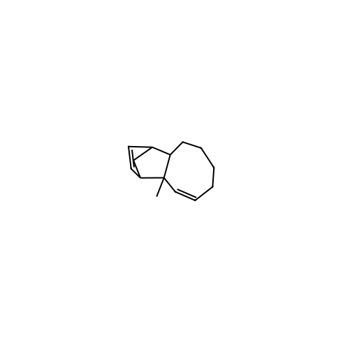 CC12C=CCCCCC1C1C=CC2C1